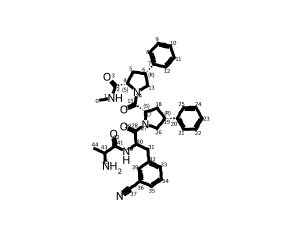 CNC(=O)[C@@H]1C[C@H](c2ccccc2)CN1C(=O)[C@@H]1C[C@H](c2ccccc2)CN1C(=O)C(Cc1cccc(C#N)c1)NC(=O)C(C)N